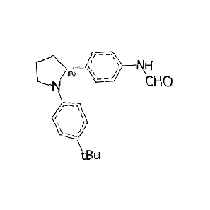 CC(C)(C)c1ccc(N2CCC[C@@H]2c2ccc(NC=O)cc2)cc1